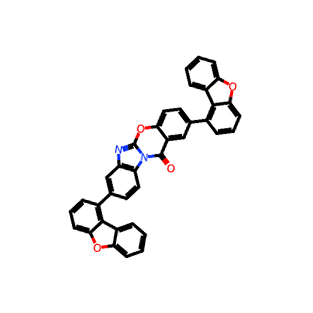 O=c1c2cc(-c3cccc4oc5ccccc5c34)ccc2oc2nc3cc(-c4cccc5oc6ccccc6c45)ccc3n12